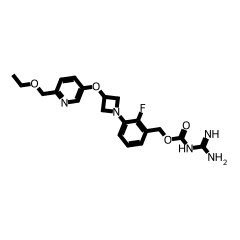 CCOCc1ccc(OC2CN(c3cccc(COC(=O)NC(=N)N)c3F)C2)cn1